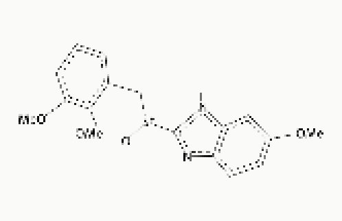 COc1ccc2nc([S+]([O-])Cc3cccc(OC)c3OC)[nH]c2c1